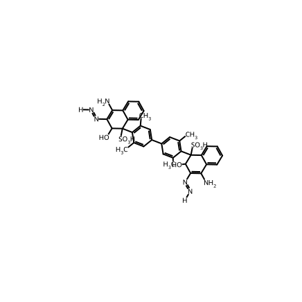 [H]/N=N/C1=C(N)c2ccccc2C(c2c(C)cc(-c3cc(C)c(C4(S(=O)(=O)O)c5ccccc5C(N)=C(/N=N/[H])C4O)c(C)c3)cc2C)(S(=O)(=O)O)C1O